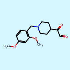 COc1ccc(CN2CCC(C(=O)C=O)CC2)c(OC)c1